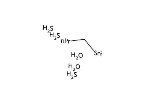 CCC[CH2][Sn].O.O.S.S.S